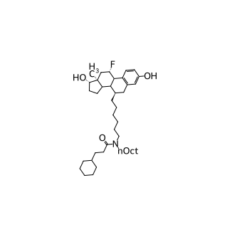 CCCCCCCCN(CCCCCC[C@@H]1Cc2cc(O)ccc2C2C1C1CC[C@H](O)[C@@]1(C)C[C@@H]2F)C(=O)CCC1CCCCC1